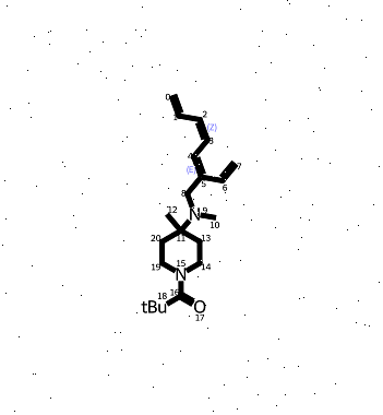 C=C/C=C\C=C(/C=C)CN(C)C1(C)CCN(C(=O)C(C)(C)C)CC1